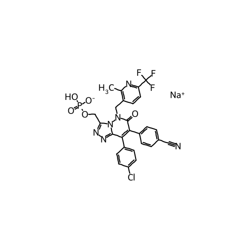 Cc1nc(C(F)(F)F)ccc1Cn1c(=O)c(-c2ccc(C#N)cc2)c(-c2ccc(Cl)cc2)c2nnc(COP(=O)([O-])O)n21.[Na+]